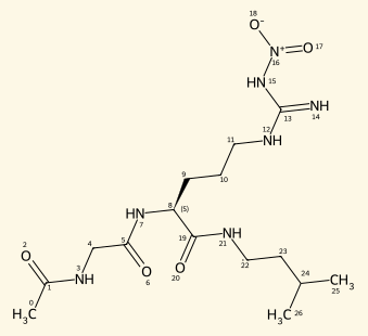 CC(=O)NCC(=O)N[C@@H](CCCNC(=N)N[N+](=O)[O-])C(=O)N[CH]CC(C)C